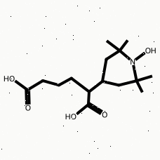 CC1(C)CC(C(CCCC(=O)O)C(=O)O)CC(C)(C)N1O